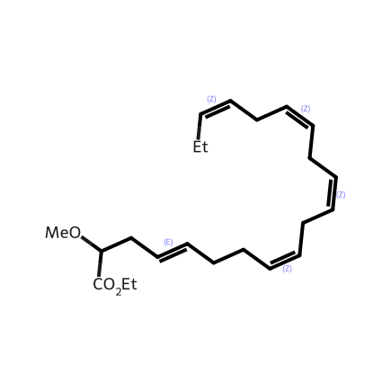 CC/C=C\C/C=C\C/C=C\C/C=C\CC/C=C/CC(OC)C(=O)OCC